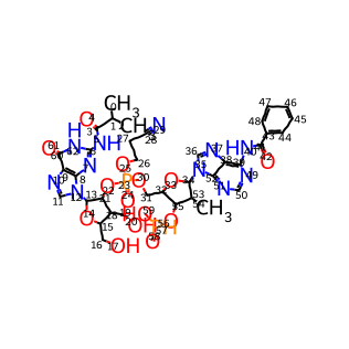 CC(C)C(=O)Nc1nc2c(ncn2C2OC(CO)C(CO)C2OP(=O)(OCCC#N)OCC2OC(n3cnc4c(NC(=O)c5ccccc5)ncnc43)C(C)C2O[PH](=O)O)c(=O)[nH]1